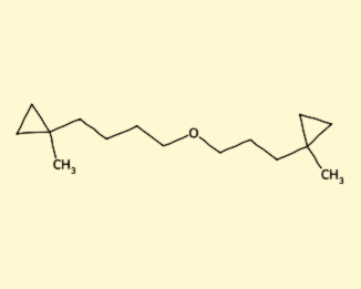 CC1(CCCCOCCCC2(C)CC2)CC1